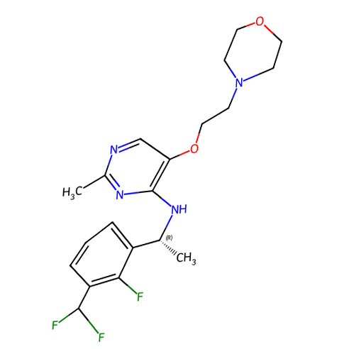 Cc1ncc(OCCN2CCOCC2)c(N[C@H](C)c2cccc(C(F)F)c2F)n1